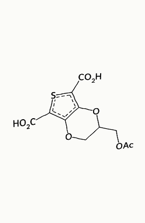 CC(=O)OCC1COc2c(C(=O)O)sc(C(=O)O)c2O1